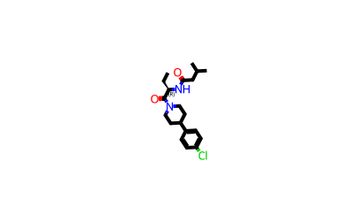 CC[C@@H](NC(=O)CC(C)C)C(=O)N1CCC(c2ccc(Cl)cc2)CC1